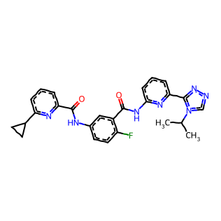 CC(C)n1cnnc1-c1cccc(NC(=O)c2cc(NC(=O)c3cccc(C4CC4)n3)ccc2F)n1